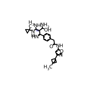 CC12CC(c3cc(NC(=O)Cc4ccc(C(=N)/C(=C(/N)NC5(C)CC5)C(N)O)cc4)on3)(C1)C2